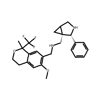 COc1cc2c(cc1CNC[C@]13CC1CN[C@@H]3c1ccccc1)C(C)(C(F)(F)F)OCC2